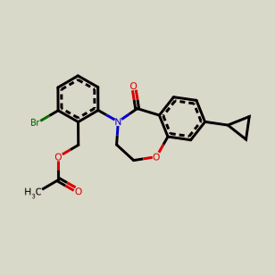 CC(=O)OCc1c(Br)cccc1N1CCOc2cc(C3CC3)ccc2C1=O